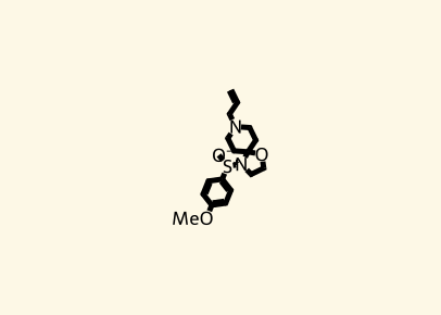 C=CCN1CCC2(CC1)OCCN2[S+]([O-])c1ccc(OC)cc1